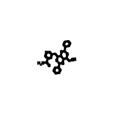 NC(=O)c1cncc(CC2OC(c3ccccc3)OC3C(CO)OC(c4ccccc4)OC23)c1